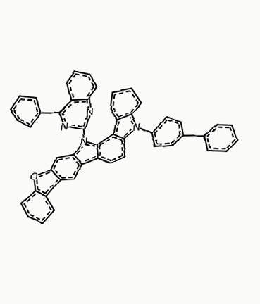 c1ccc(-c2ccc(-n3c4ccccc4c4c3ccc3c5cc6c(cc5n(-c5nc(-c7ccccc7)c7ccccc7n5)c34)oc3ccccc36)cc2)cc1